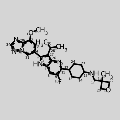 COc1cc(-c2[nH]c3cc(F)c(C4CCC(NCC5(C)COC5)CC4)nc3c2C(C)C)cn2ncnc12